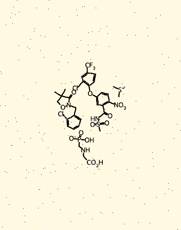 CC1(C)CON(Cc2ccccc2Cl)C1=O.CS(=O)(=O)NC(=O)c1cc(Oc2ccc(C(F)(F)F)cc2Cl)ccc1[N+](=O)[O-].C[S+](C)C.O=C(O)CNCP(=O)([O-])O